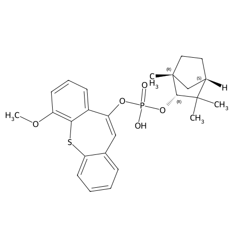 COc1cccc2c1Sc1ccccc1C=C2OP(=O)(O)O[C@H]1C(C)(C)[C@H]2CC[C@]1(C)C2